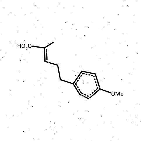 COc1ccc(CCC=C(C)C(=O)O)cc1